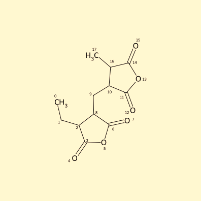 CCC1C(=O)OC(=O)C1CC1C(=O)OC(=O)C1C